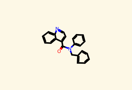 O=C(c1ccnc2ccccc12)N(Cc1ccccc1)c1ccccc1